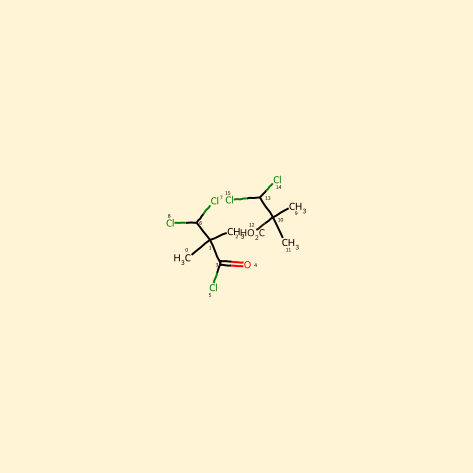 CC(C)(C(=O)Cl)C(Cl)Cl.CC(C)(C(=O)O)C(Cl)Cl